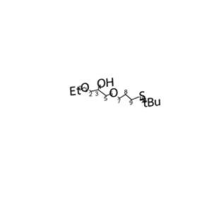 CCOCC(O)COCCCSC(C)(C)C